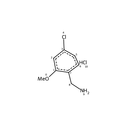 COc1cc(Cl)ccc1CN.Cl